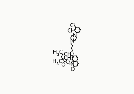 CC(C)CC(C)(C)C(=O)OCn1c(=O)ccc2ccc(OCCCCN3CCN(c4cccc(Cl)c4Cl)CC3)cc21